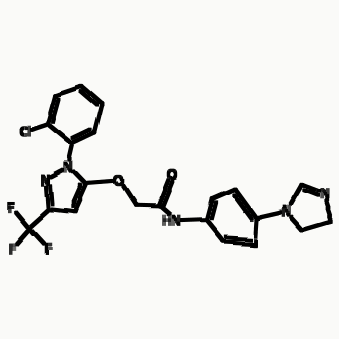 O=C(COc1cc(C(F)(F)F)nn1-c1ccccc1Cl)Nc1ccc(N2C=NCC2)cc1